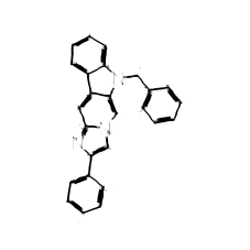 c1ccc(Cn2c3ccccc3c3cc4nc(-c5ccccc5)cn4cc32)cc1